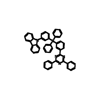 c1ccc(-c2nc(-c3ccccc3)nc(-c3cccc([Si](c4ccccc4)(c4ccccc4)c4cccc(-n5c6ccccc6c6ccccc65)c4)c3)n2)cc1